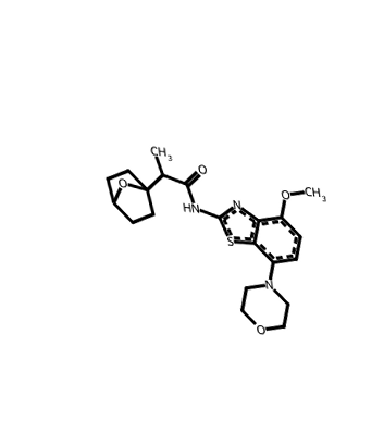 COc1ccc(N2CCOCC2)c2sc(NC(=O)C(C)C34CCC(CC3)O4)nc12